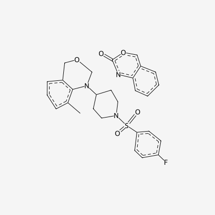 Cc1cccc2c1N(C1CCN(S(=O)(=O)c3ccc(F)cc3)CC1)COC2.O=c1nc2ccccc2co1